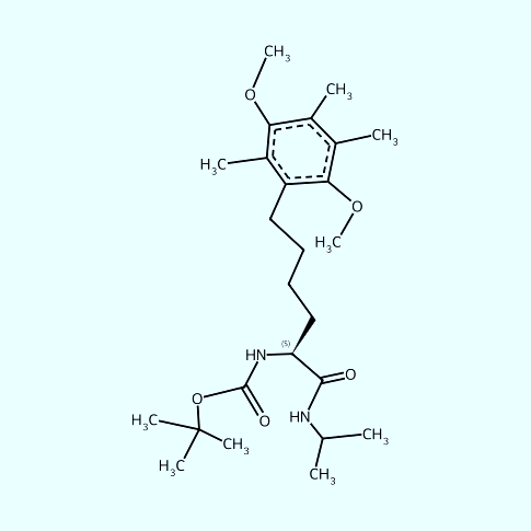 COc1c(C)c(C)c(OC)c(CCCC[C@H](NC(=O)OC(C)(C)C)C(=O)NC(C)C)c1C